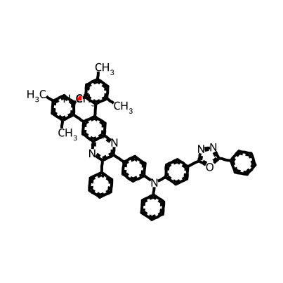 Cc1cc(C)c(-c2cc3nc(-c4ccccc4)c(-c4ccc(N(c5ccccc5)c5ccc(-c6nnc(-c7ccccc7)o6)cc5)cc4)nc3cc2-c2c(C)cc(C)cc2C)c(C)c1